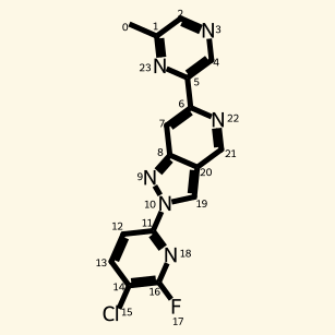 Cc1cncc(-c2cc3nn(-c4ccc(Cl)c(F)n4)cc3cn2)n1